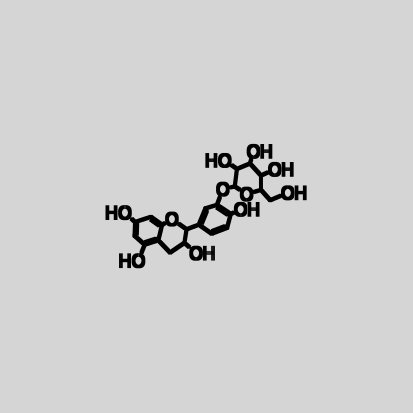 OCC1OC(Oc2cc(C3Oc4cc(O)cc(O)c4CC3O)ccc2O)C(O)C(O)C1O